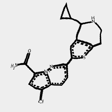 NC(=O)c1cc(Cl)c2ccc(-c3cc4c(s3)CCNC4C3CC3)nn12